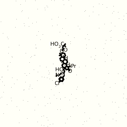 CC(C)C1=C2[C@H]3CC[C@@H]4[C@@]5(C)CC[C@H](OC(=O)CC(C)(C)C(=O)O)C(C)(C)C5CC[C@@]4(C)[C@]3(C)CCC2(C(O)CN(CCN(C)C)Cc2ccc(Cl)cc2)CC1=O